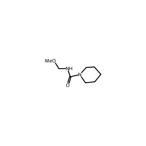 COCNC(=O)N1CCCCC1